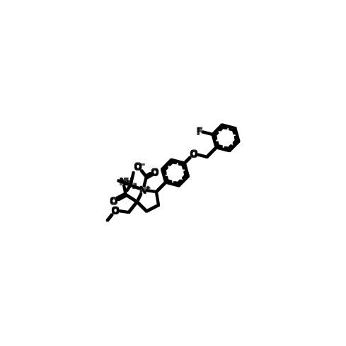 COCC1(C(N)=O)CCC(c2ccc(OCc3ccccc3F)cc2)[N+]1(C(=O)[O-])C(C)(C)C